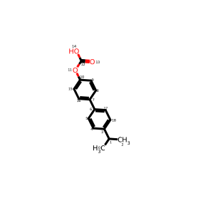 CC(C)c1ccc(-c2ccc(OC(=O)O)cc2)cc1